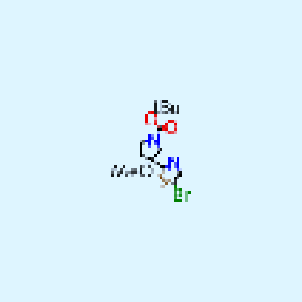 COC1(c2ncc(Br)s2)CCN(C(=O)OC(C)(C)C)C1